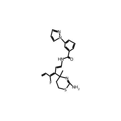 C=C/C(F)=C(\C=C\NC(=O)c1cccc(-n2cccn2)c1)C1(C)CCSC(N)=N1